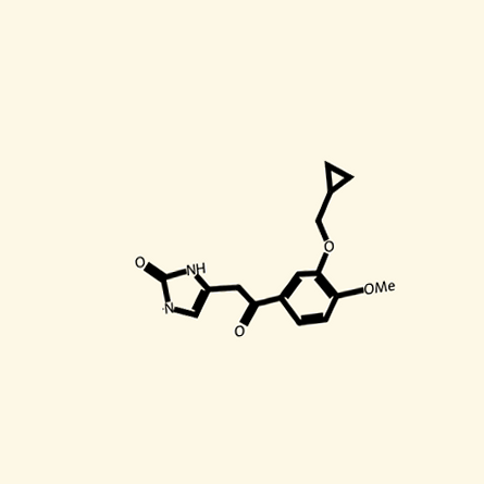 COc1ccc(C(=O)CC2=C[N]C(=O)N2)cc1OCC1CC1